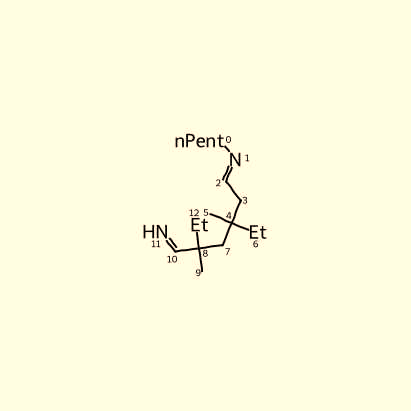 CCCCC/N=C/CC(C)(CC)CC(C)(C=N)CC